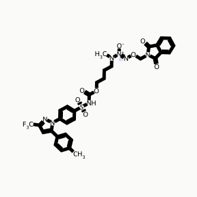 Cc1ccc(-c2cc(C(F)(F)F)nn2-c2ccc(S(=O)(=O)NC(=O)OCCCCN(C)/[N+]([O-])=N/OCN3C(=O)c4ccccc4C3=O)cc2)cc1